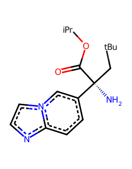 CC(C)OC(=O)[C@@](N)(CC(C)(C)C)c1ccc2nccn2c1